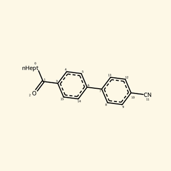 CCCCCCCC(=O)c1ccc(-c2ccc(C#N)cc2)cc1